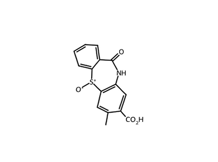 Cc1cc2c(cc1C(=O)O)NC(=O)c1ccccc1[S+]2[O-]